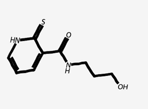 O=C(NCCCO)c1ccc[nH]c1=S